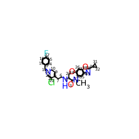 CN1C(=O)[C@@H](NCCC2=CCN(Cc3ccc(F)cc3)C=C2Cl)COc2cc3oc(C4CC4)nc3cc21